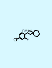 CCCCCCC1(CCc2ccc(Cl)cc2F)CCCCC1